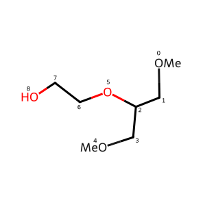 COCC(COC)OCCO